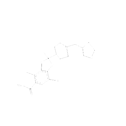 COC(=O)c1cc(Cl)c2c(c1C)OC(C)(C1CCN(CC3CCOC3)CC1)O2